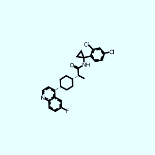 CC(C(=O)NC1(c2ccc(Cl)cc2Cl)CC1)[C@H]1CC[C@@H](c2ccnc3ccc(F)cc32)CC1